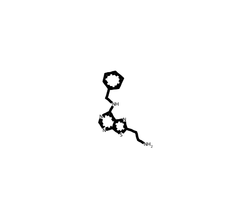 NCCc1nc2c(NCc3ccccc3)ncnc2s1